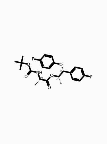 C[C@H](NC(=O)OC(C)(C)C)C(=O)O[C@@H](C)[C@H](Oc1ccc(F)cc1)c1ccc(F)cc1